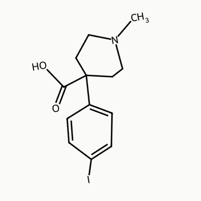 CN1CCC(C(=O)O)(c2ccc(I)cc2)CC1